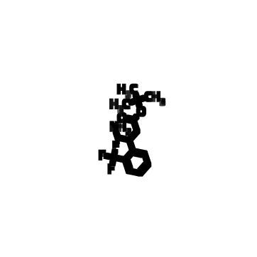 CC(C)(C)OC(=O)CC(CN)c1ccccc1C(F)(F)F